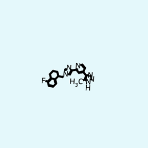 Cc1[nH]nnc1-c1ccnc(-c2cn(CC3CCCc4c(F)cccc43)cn2)c1